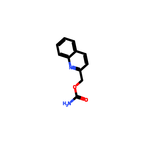 NC(=O)OCc1ccc2ccccc2n1